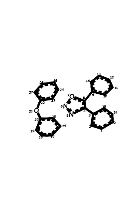 c1ccc(-c2nnoc2-c2ccccc2)cc1.c1ccc(Oc2ccccc2)cc1